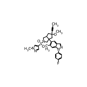 CC#CC1(OC)CC2CN(S(=O)(=O)c3cnn(C)c3)CC2(c2cc3cnn(-c4ccc(F)cc4)c3cc2C)C1